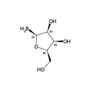 B[C@@H]1O[C@H](CO)[C@H](O)[C@@H]1O